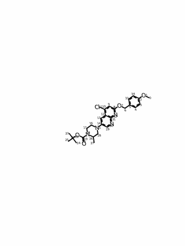 COc1ccc(COc2cc(Cl)c3cc(N4CCN(C(=O)OC(C)(C)C)C(C)C4)cnc3n2)cc1